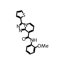 COc1ccccc1NC(=O)c1cccn2c(-c3cccs3)nnc12